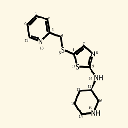 c1ccc(CSc2cnc(N[C@@H]3CCCNC3)s2)nc1